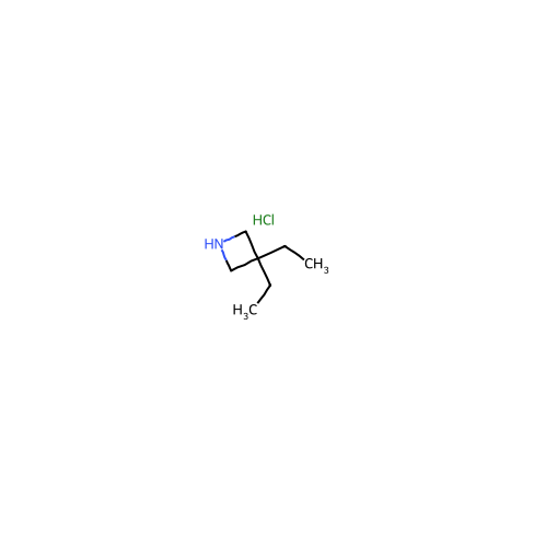 CCC1(CC)CNC1.Cl